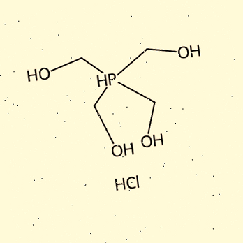 Cl.OC[PH](CO)(CO)CO